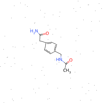 CC(=O)NCc1ccc(CC(N)=O)cc1